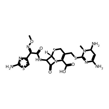 CO/N=C(\C(=O)NC1C(=O)N2C(C(=O)O)=C(CSC3=NC(N)=CC(N)N3C)CS[C@@H]12)c1csc(N)n1